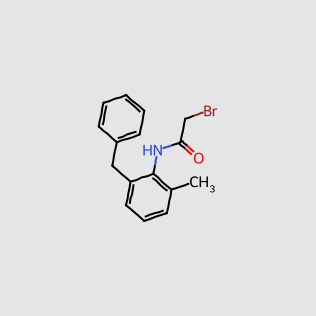 Cc1cccc(Cc2ccccc2)c1NC(=O)CBr